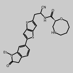 CCN1C(=O)Cc2ccc(-c3cc4sc(CC(C#N)NC(=O)[C@@H]5CNCCCCO5)cc4s3)cc21